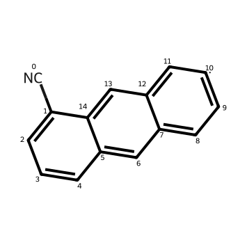 N#Cc1cccc2cc3cc[c]cc3cc12